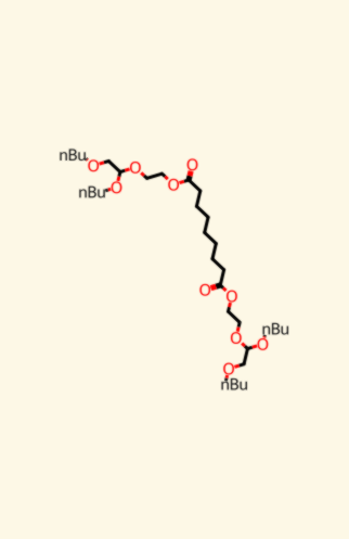 CCCCOCC(OCCCC)OCCOC(=O)CCCCCCCC(=O)OCCOC(COCCCC)OCCCC